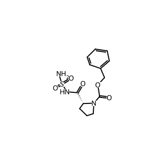 NS(=O)(=O)NC(=O)[C@H]1CCCN1C(=O)OCc1ccccc1